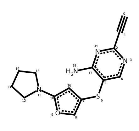 C#Cc1ncc(Sc2coc(N3CCCC3)c2)c(N)n1